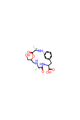 C[C@H](N)C(=O)OC(CO)CN[C@@H](C)C(=O)NC(Cc1ccccc1)C(=O)O